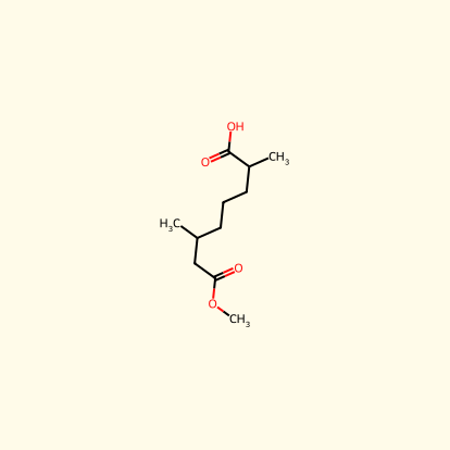 COC(=O)CC(C)CCCC(C)C(=O)O